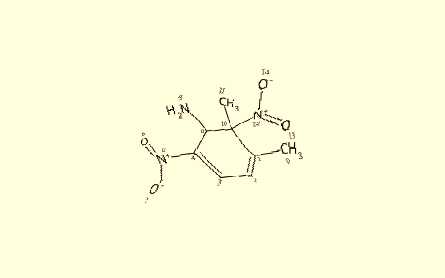 CC1=CC=C([N+](=O)[O-])C(N)C1(C)[N+](=O)[O-]